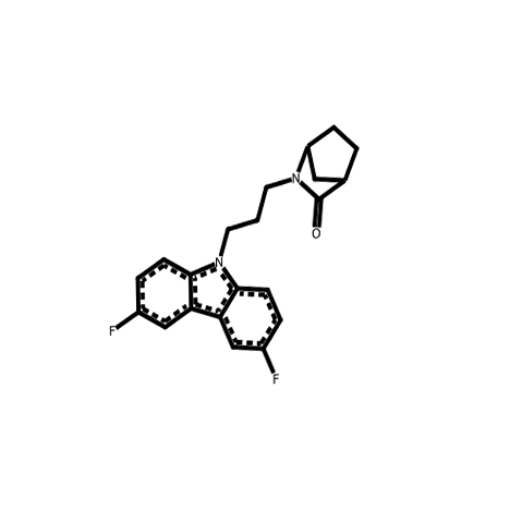 O=C1C2CCC(C2)N1CCCn1c2ccc(F)cc2c2cc(F)ccc21